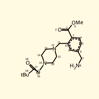 COC(=O)c1ccc(CN)cc1CN1CCN(OC(=O)C(C)(C)C)CC1